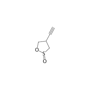 C#CC1COS(=O)C1